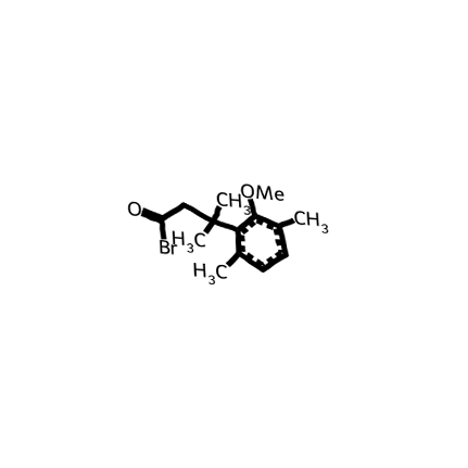 COc1c(C)ccc(C)c1C(C)(C)CC(=O)Br